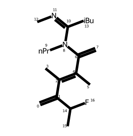 C=C(/C(C)=C(\C)C(=C)N(CCC)/C(=N\C)C(C)CC)C(C)F